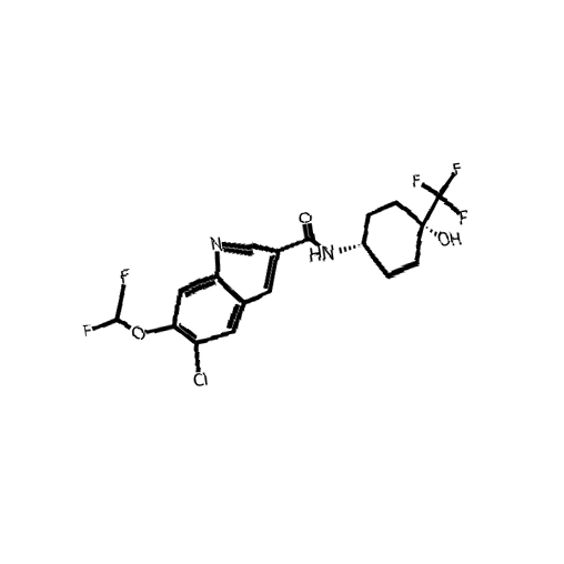 O=C(N[C@H]1CC[C@](O)(C(F)(F)F)CC1)c1cnc2cc(OC(F)F)c(Cl)cc2c1